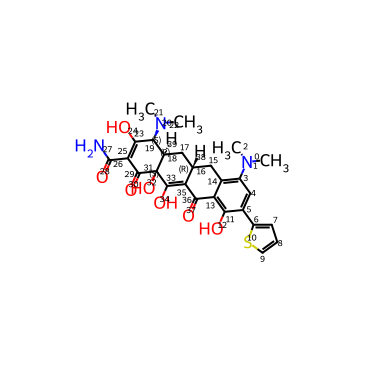 CN(C)c1cc(-c2cccs2)c(O)c2c1C[C@H]1C[C@@H]3[C@H](N(C)C)C(O)=C(C(N)=O)C(=O)[C@@]3(O)C(O)=C1C2=O